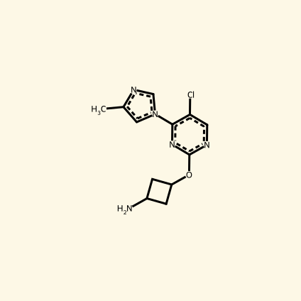 Cc1cn(-c2nc(OC3CC(N)C3)ncc2Cl)cn1